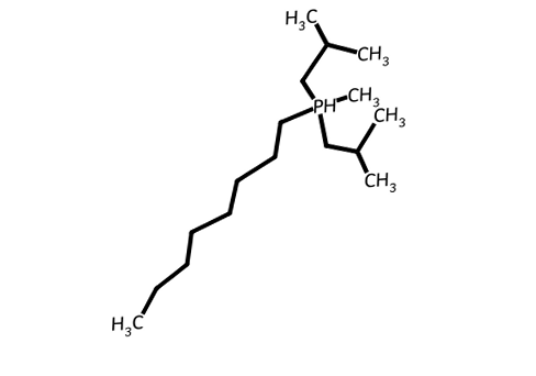 CCCCCCCC[PH](C)(CC(C)C)CC(C)C